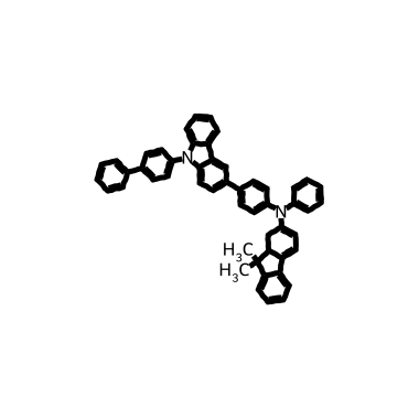 CC1(C)c2ccccc2C2=CC=C(N(c3ccccc3)c3ccc(-c4ccc5c(c4)c4ccccc4n5-c4ccc(-c5ccccc5)cc4)cc3)CC21